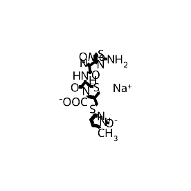 CON=C(C(=O)NC1C(=O)N2C(C(=O)[O-])=C(CSc3ccc(C)[n+]([O-])n3)CS[C@@H]12)c1csc(N)n1.[Na+]